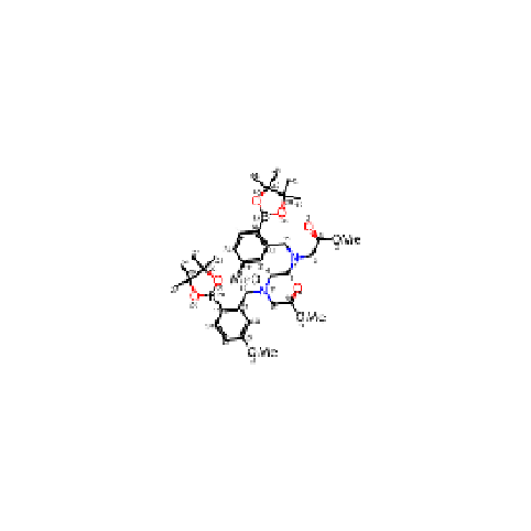 COC(=O)CN(CCN(CC(=O)OC)Cc1cc(OC)ccc1B1OC(C)(C)C(C)(C)O1)Cc1cc(OC)ccc1B1OC(C)(C)C(C)(C)O1